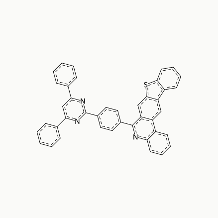 c1ccc(-c2cc(-c3ccccc3)nc(-c3ccc(-c4nc5ccccc5c5cc6c(cc45)sc4ccccc46)cc3)n2)cc1